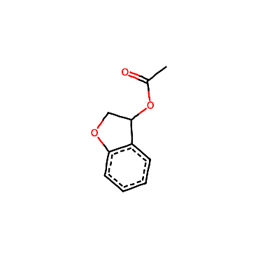 CC(=O)OC1COc2ccccc21